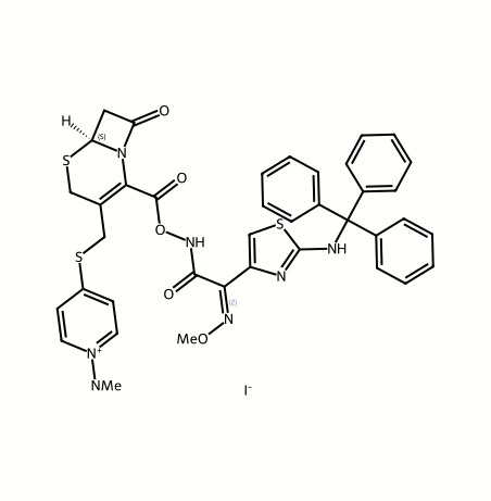 CN[n+]1ccc(SCC2=C(C(=O)ONC(=O)/C(=N\OC)c3csc(NC(c4ccccc4)(c4ccccc4)c4ccccc4)n3)N3C(=O)C[C@@H]3SC2)cc1.[I-]